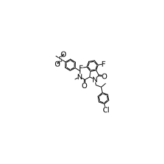 CC(CN1C(=O)c2c(F)ccc(F)c2C1C(=O)N(C)Cc1ccc(S(C)(=O)=O)cc1)c1ccc(Cl)cc1